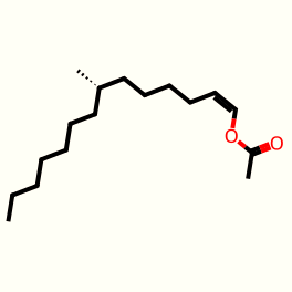 CCCCCCC[C@H](C)CCCC/C=C\OC(C)=O